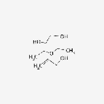 C=CCO.CCOCC.OCCO